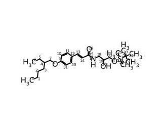 CCCCC(CC)COc1ccc(/C=C/C(=O)NCC(O)CO[Si](C)(C)C(C)(C)C)cc1